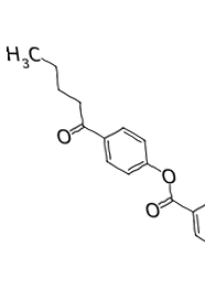 CCCCC(=O)c1ccc(OC(=O)c2ccccc2)cc1